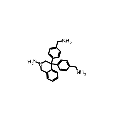 NCc1ccc(C2(c3ccc(CN)cc3)CN(N)Cc3ccccc32)cc1